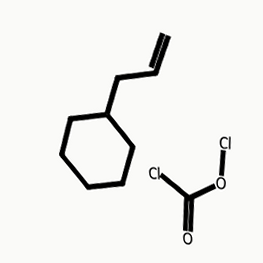 C=CCC1CCCCC1.O=C(Cl)OCl